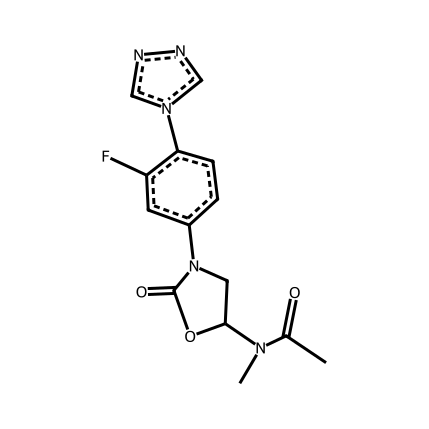 CC(=O)N(C)C1CN(c2ccc(-n3cnnc3)c(F)c2)C(=O)O1